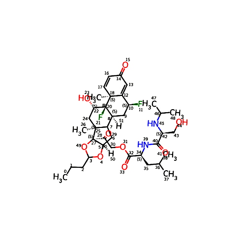 CCCC1O[C@@H]2CC3[C@@H]4C[C@H](F)C5=CC(=O)C=C[C@]5(C)[C@@]4(F)[C@@H](O)C[C@]3(C)[C@]2(C(=O)COC(=O)[C@H](CC(C)C)NC(=O)[C@H](CO)NC(C)C)O1